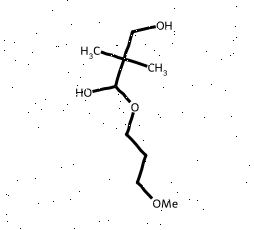 COCCCOC(O)C(C)(C)CO